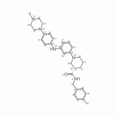 Cc1ccc(CNC(=O)[C@H]2CCCN(c3ccnc(Nc4ccc(N5CCN(C)CC5)cc4)n3)C2)cc1